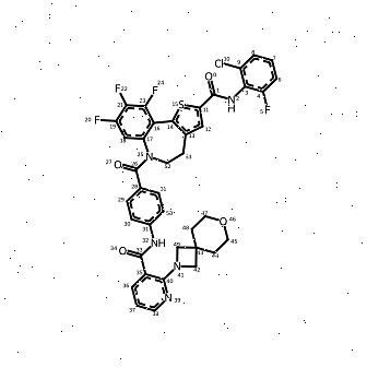 O=C(Nc1c(F)cccc1Cl)c1cc2c(s1)-c1c(cc(F)c(F)c1F)N(C(=O)c1ccc(NC(=O)c3cccnc3N3CC4(CCOCC4)C3)cc1)CC2